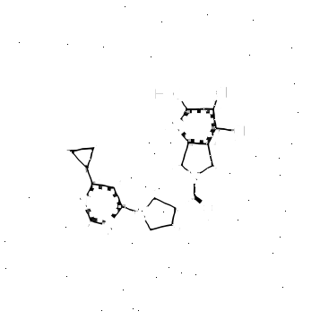 Cc1nc2c(c(C)c1Cl)CN(C(=O)[C@@H]1CCN(c3cc(C4CC4)ncn3)C1)C2